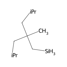 CC(C)CC(C)(C[SiH3])CC(C)C